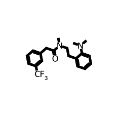 CN(CCc1ccccc1N(C)C)C(=O)Cc1cccc(C(F)(F)F)c1